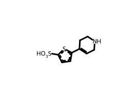 O=S(=O)(O)c1ccc(C2=CCNCC2)s1